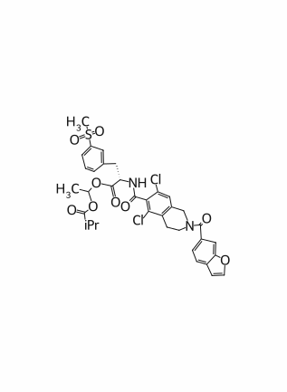 CC(OC(=O)C(C)C)OC(=O)[C@H](Cc1cccc(S(C)(=O)=O)c1)NC(=O)c1c(Cl)cc2c(c1Cl)CCN(C(=O)c1ccc3ccoc3c1)C2